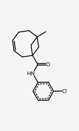 CC12CC/C=C\CC(C(=O)Nc3cccc(Cl)c3)(C1)C2